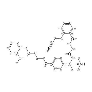 COc1ccccc1COCCCOc1ccc(C2CCNCC2OCCOc2ccccc2CCC#N)cc1